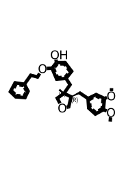 COc1ccc(C[C@H]2COC[C@]2(C)Cc2ccc(O)c(OCCc3ccccc3)c2)cc1OC